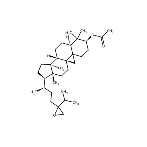 CC(=O)O[C@H]1CCC23C[C@]24CC[C@]2(C)[C@@H]([C@H](C)CCC5(C(C)C)CO5)CC[C@@]2(C)[C@@H]4CC[C@H]3C1(C)C